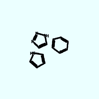 c1c[nH]nn1.c1cc[nH]c1.c1ccccc1